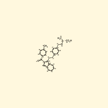 Cc1ccc(C(=O)c2nc3ccccc3n2CCc2ccc(CO[C@H](C)C(=O)O)cc2)cc1